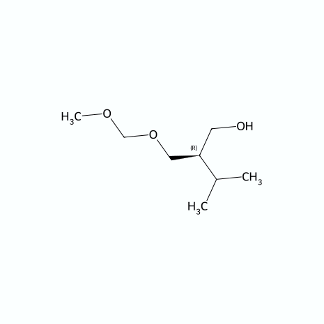 COCOC[C@@H](CO)C(C)C